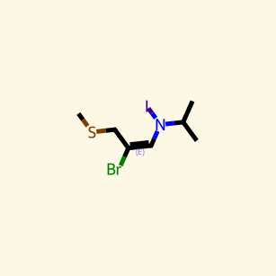 CSC/C(Br)=C\N(I)C(C)C